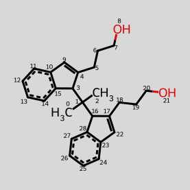 CC(C)(C1C(CCCO)=Cc2ccccc21)C1C(CCCO)=Cc2ccccc21